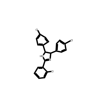 Clc1ccc(C2N=C(c3ccccc3Cl)NC2c2ccc(Cl)cc2)cc1